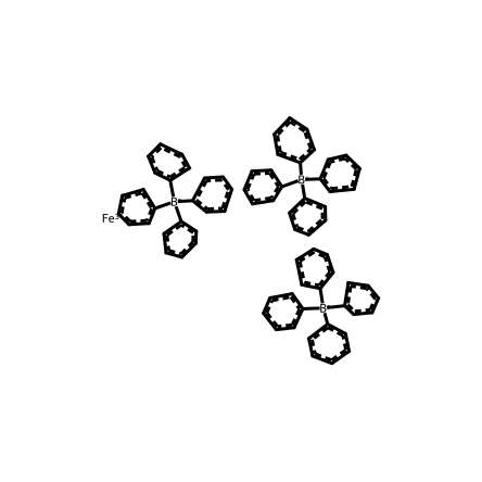 [Fe+3].c1ccc([B-](c2ccccc2)(c2ccccc2)c2ccccc2)cc1.c1ccc([B-](c2ccccc2)(c2ccccc2)c2ccccc2)cc1.c1ccc([B-](c2ccccc2)(c2ccccc2)c2ccccc2)cc1